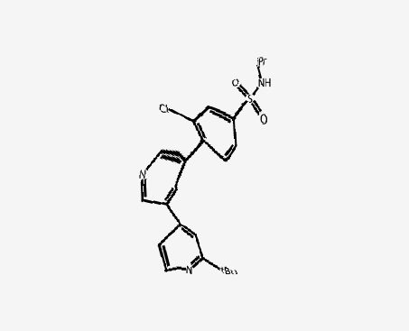 CC(C)NS(=O)(=O)c1ccc(-c2cncc(-c3ccnc(C(C)(C)C)c3)c2)c(Cl)c1